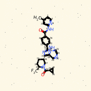 Cc1ccnc(NC(=O)c2ccc(C3=NC([C@H]4CC[C@H](C(F)(F)F)N(C(=O)C5CC5)C4)=C4C=NC=C[N+]34N)cc2)c1